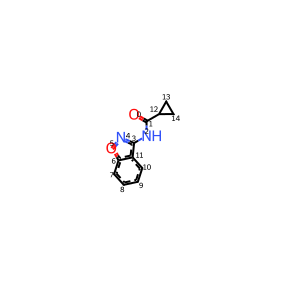 O=C(Nc1noc2ccccc12)C1CC1